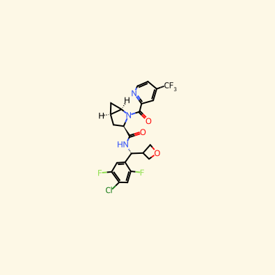 O=C(N[C@@H](c1cc(F)c(Cl)cc1F)C1COC1)[C@H]1C[C@H]2C[C@H]2N1C(=O)c1cc(C(F)(F)F)ccn1